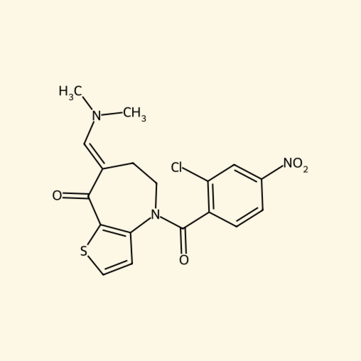 CN(C)C=C1CCN(C(=O)c2ccc([N+](=O)[O-])cc2Cl)c2ccsc2C1=O